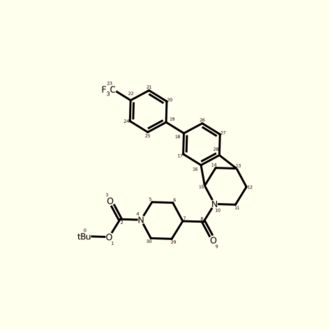 CC(C)(C)OC(=O)N1CCC(C(=O)N2CCC3CC2c2cc(-c4ccc(C(F)(F)F)cc4)ccc23)CC1